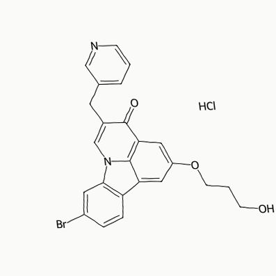 Cl.O=c1c(Cc2cccnc2)cn2c3cc(Br)ccc3c3cc(OCCCO)cc1c32